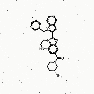 N[C@@H]1CCCN(C(=O)c2cc3c4c(c2)nc(-c2cc5ccccc5n2Cc2cccnc2)n4CCN3)C1